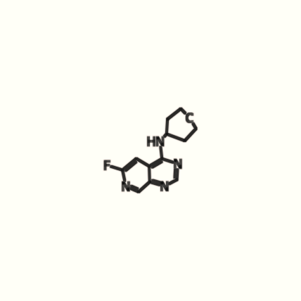 Fc1cc2c(NC3CCCCC3)ncnc2cn1